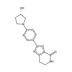 O=C1NCCc2nc(-c3ccc(N4CC[C@H](O)C4)nc3)sc21